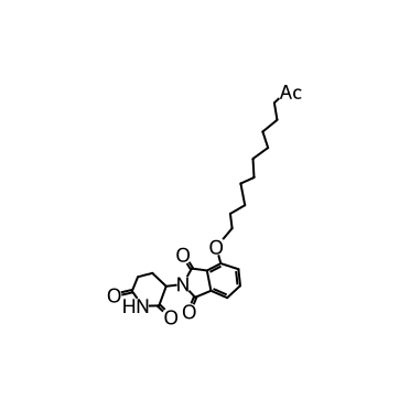 CC(=O)CCCCCCCCCCOc1cccc2c1C(=O)N(C1CCC(=O)NC1=O)C2=O